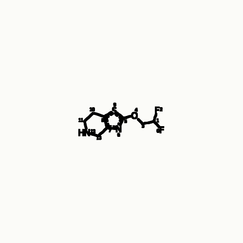 FC(F)COc1nc2c(s1)CCNC2